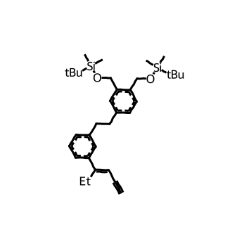 C#CC=C(CC)c1cccc(CCc2ccc(CO[Si](C)(C)C(C)(C)C)c(CO[Si](C)(C)C(C)(C)C)c2)c1